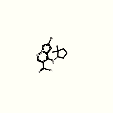 CC1(C)CCC[C@H]1Nc1c(C(N)=O)cnn2cc(Br)cc12